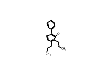 CCCc1ccc(-c2ccccc2)c([O])c1CCC